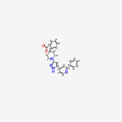 O=C1OC2(CCN(c3cc(-c4ccnc(-c5ccccc5)c4)[nH]n3)CC2)c2ccccc21